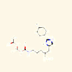 CC(C)C(=O)O[C@@H](C)OC(=O)NCCC[C@@H](Cc1c[nH]c([C@H]2CC[C@H](C)CC2)n1)C(=O)O